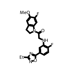 CCc1noc(-c2ccc(F)c(NCC(=O)N3CCc4cc(OC)c(F)cc43)c2)n1